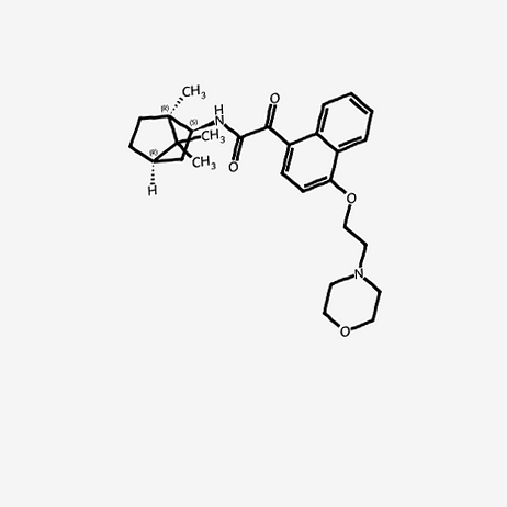 CC1(C)[C@@H]2CC[C@@]1(C)[C@@H](NC(=O)C(=O)c1ccc(OCCN3CCOCC3)c3ccccc13)C2